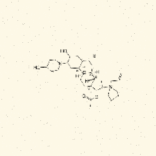 C=CC[N+]1(C2C[C@H]3[C@@H]4CCC5CC(O)C(N6CCC(O)CC6)C[C@]5(C)[C@@H]4CC[C@]3(C)C2OC(C)=O)CCCC1.[Br-]